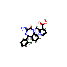 COC(=O)c1cccnc1CN1C(=O)C(N)N=C(c2ccccc2F)c2ccccc21